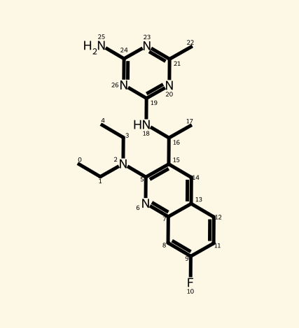 CCN(CC)c1nc2cc(F)ccc2cc1C(C)Nc1nc(C)nc(N)n1